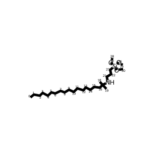 CCCCCCCCCCCCCCCCCC(C)(C)NCCC[Si](OC)(OC)OC